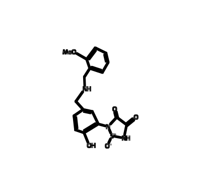 COc1ccccc1CNCc1ccc(O)c(-n2c(=O)c(=O)[nH][s+]2[O-])c1